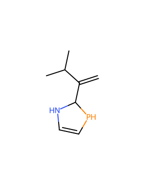 C=C(C(C)C)C1NC=CP1